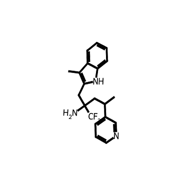 Cc1c(CC(N)(CC(C)c2cccnc2)C(F)(F)F)[nH]c2ccccc12